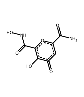 NC(=O)c1cc(=O)c(O)c(C(=O)NO)o1